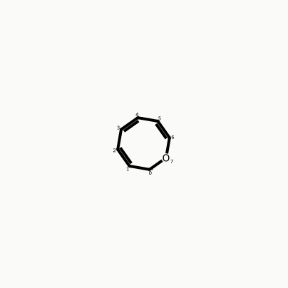 [CH]1C=CC=CC=CO1